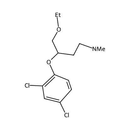 CCOCC(CCNC)Oc1ccc(Cl)cc1Cl